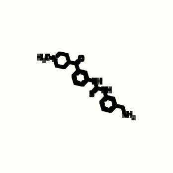 CN1CCC(C(=O)c2cccc(NC(=S)Nc3cccc(CN)c3)c2)CC1